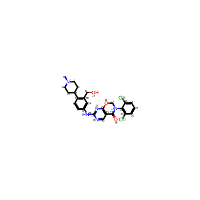 CN1CCC(c2ccc(Nc3ncc4c(n3)OCN(c3c(Cl)cccc3Cl)C4=O)cc2CO)CC1